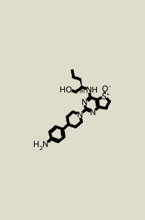 CCC[C@H](CO)Nc1nc(N2CCC(c3ccc(N)cc3)CC2)nc2c1[S+]([O-])CC2